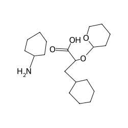 NC1CCCCC1.O=C(O)C(CC1CCCCC1)OC1CCCCO1